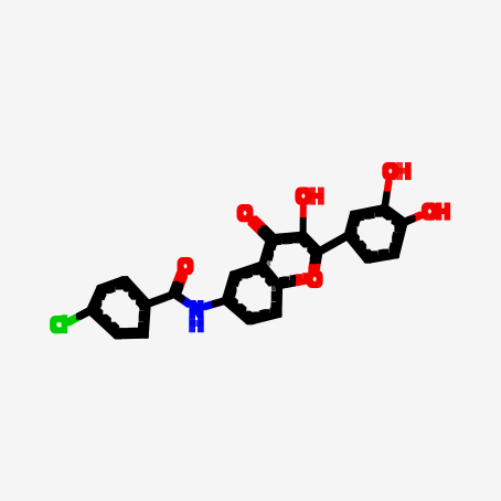 O=C(Nc1ccc2oc(-c3ccc(O)c(O)c3)c(O)c(=O)c2c1)c1ccc(Cl)cc1